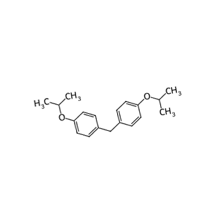 CC(C)Oc1ccc(Cc2ccc(OC(C)C)cc2)cc1